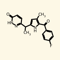 Cc1cc(C(C)c2ccc(=O)[nH]n2)[nH]c1C(=O)c1ccc(F)cc1